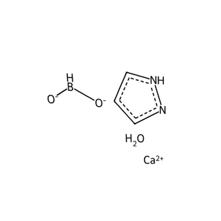 O.[Ca+2].[O-]B[O-].c1cn[nH]c1